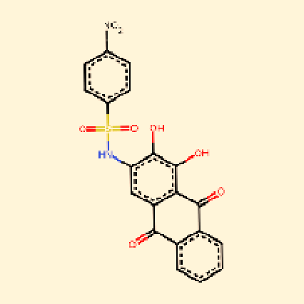 O=C1c2ccccc2C(=O)c2c1cc(NS(=O)(=O)c1ccc([N+](=O)[O-])cc1)c(O)c2O